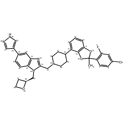 CC1(c2ccc(Cl)cc2F)Oc2cccc(C3CCN(Cc4nc5cc(-c6cn[nH]c6)ccc5n4C[C@@H]4CCO4)CC3)c2O1